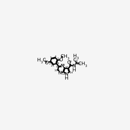 COc1ccc(OC)c(-c2cnc3[nH]cc(C(=O)NC(C)C)c3n2)c1